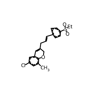 CCS(=O)(=O)c1ccc(C=CCC2=Cc3cc(Cl)cc(C)c3OC2)cc1